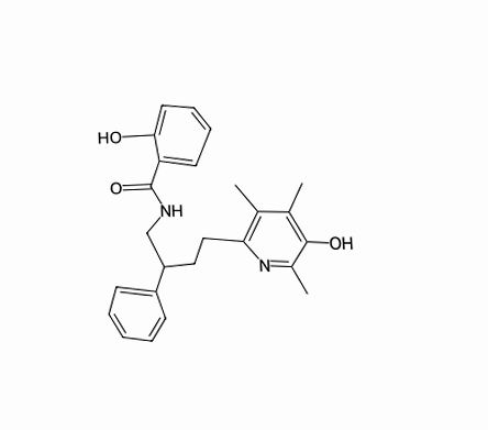 Cc1nc(CCC(CNC(=O)c2ccccc2O)c2ccccc2)c(C)c(C)c1O